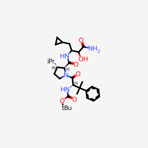 CC(C)[C@H]1CCN(C(=O)[C@@H](NC(=O)OC(C)(C)C)C(C)(C)c2ccccc2)[C@@H]1C(=O)NC(CC1CC1)C(O)C(N)=O